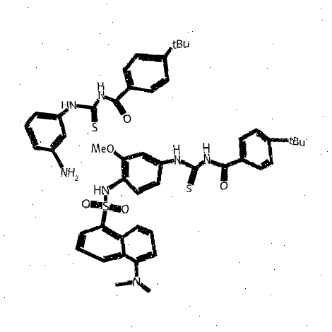 CC(C)(C)c1ccc(C(=O)NC(=S)Nc2cccc(N)c2)cc1.COc1cc(NC(=S)NC(=O)c2ccc(C(C)(C)C)cc2)ccc1NS(=O)(=O)c1cccc2c(N(C)C)cccc12